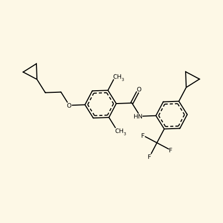 Cc1cc(OCCC2CC2)cc(C)c1C(=O)Nc1cc(C2CC2)ccc1C(F)(F)F